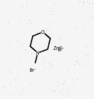 CN1CCOCC1.[Br-].[Br-].[Zn+2]